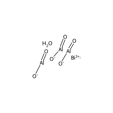 O.[Bi+3].[O]=[Al][O-].[O]=[Al][O-].[O]=[Al][O-]